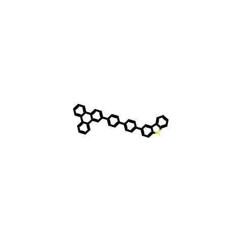 c1ccc2c(c1)sc1ccc(-c3ccc(-c4ccc(-c5ccc6c7ccccc7c7ccccc7c6c5)cc4)cc3)cc12